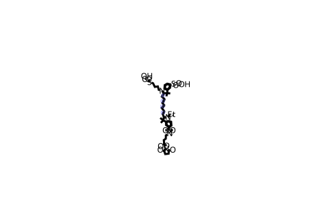 CC[N+]1=C(/C=C/C=C/C=C/C=C2/N(CCCCSOOO)c3ccc(SOOO)cc3C2(C)C)C(C)(C)c2cc(S(=O)(=O)N(C)CCCC(=O)ON3C(=O)CCC3=O)ccc21